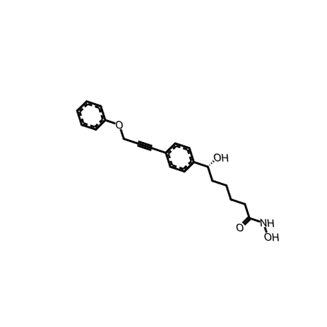 O=C(CCCC[C@@H](O)c1ccc(C#CCOc2ccccc2)cc1)NO